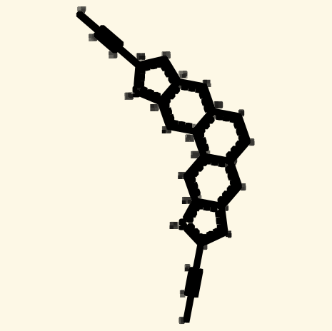 CC#Cc1cc2cc3ccc4cc5cc(C#CC)sc5cc4c3cc2s1